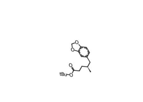 C[C@@H](CCC(=O)OC(C)(C)C)Cc1ccc2c(c1)OCO2